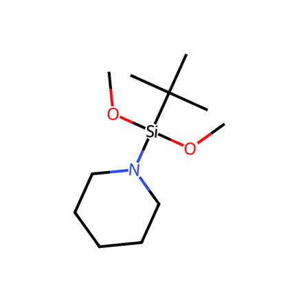 CO[Si](OC)(N1CCCCC1)C(C)(C)C